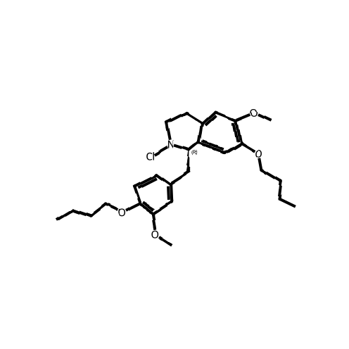 CCCCOc1ccc(C[C@@H]2c3cc(OCCCC)c(OC)cc3CCN2Cl)cc1OC